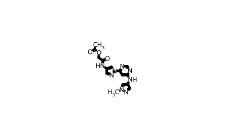 CC(=O)OCC(=O)Nc1cnn(-c2cc(Nc3cnn(C)c3)ncn2)c1